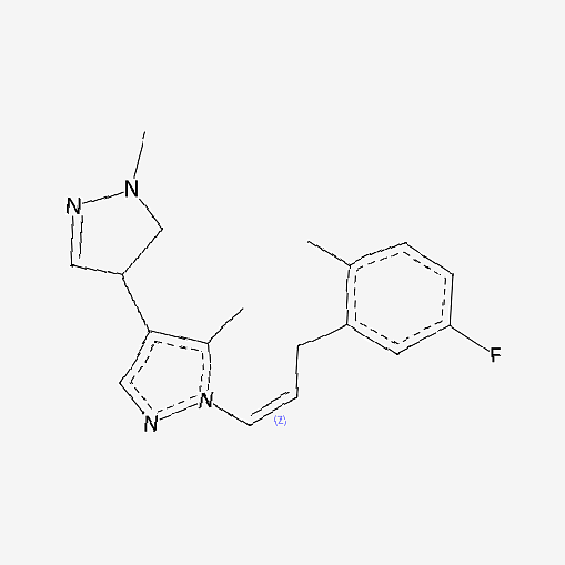 Cc1ccc(F)cc1C/C=C\n1ncc(C2C=NN(C)C2)c1C